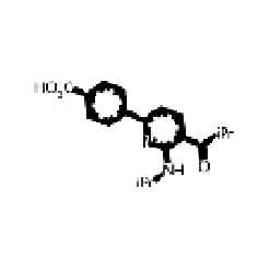 CC(C)Nc1nc(-c2ccc(C(=O)O)cc2)ccc1C(=O)C(C)C